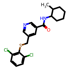 CC1CCCCC1NC(=O)c1cncc(CSc2c(Cl)cccc2Cl)c1